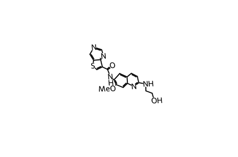 COc1cc2nc(NCCO)ccc2cc1NC(=O)c1csc2cncnc12